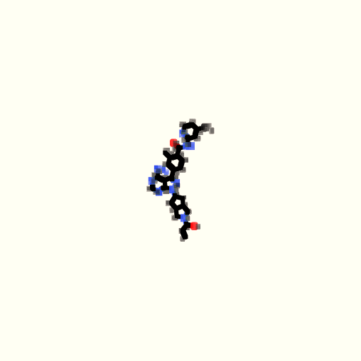 C=CC(=O)N1CC2CC(n3nc(-c4ccc(C(=O)Nc5cc(C(F)(F)F)ccn5)c(C)c4)c4c(N)ncnc43)CC2C1